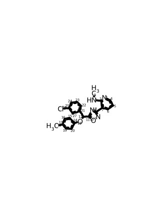 CNc1ncccc1-c1noc(C(Oc2ccc(C)cc2)c2cccc(Cl)c2)n1